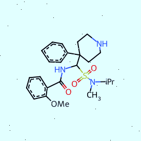 COc1ccccc1C(=O)NC(C1(c2ccccc2)CCNCC1)S(=O)(=O)N(C)C(C)C